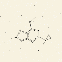 COc1cc(C2(C)CC2)cc2sc(C)nc12